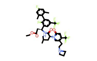 CCOC(=O)C[C@H](NC(=O)C(CC(C)C)n1cc(CCN2CCC2)c(C(F)(F)F)cc1=O)c1cc(C(F)(F)F)cc(-c2c(C)cc(F)cc2C)c1F